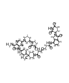 CN1CCN([C@@H]2CCCN(c3cnc(C(N)O)c(Nc4ccc(C5(C)CCN(C(=O)CCOCCC(=O)Nc6cccc7c6CN(C6CCC(=O)NC6=O)C7=O)CC5)cc4)n3)C2)C1=O